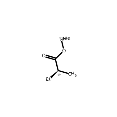 CC[C@H](C)C(=O)ONC